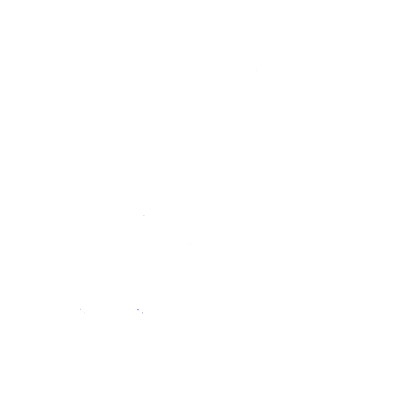 O=C(c1ccc2nccnc2c1)c1c(F)ccc(OCc2cccc(C(F)(F)F)c2)c1Cl